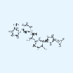 Cc1cnc(C(=O)Nc2cccc(-c3nnnn3C(C)C)n2)cc1-n1cnc(C2CC2)c1